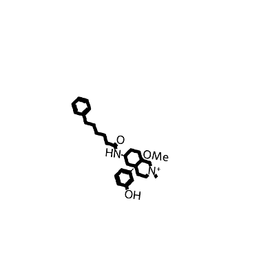 CO[C@]12CC[C@@H](NC(=O)CCCCCc3ccccc3)C[C@]1(c1cccc(O)c1)CC[N+](C)(C)C2